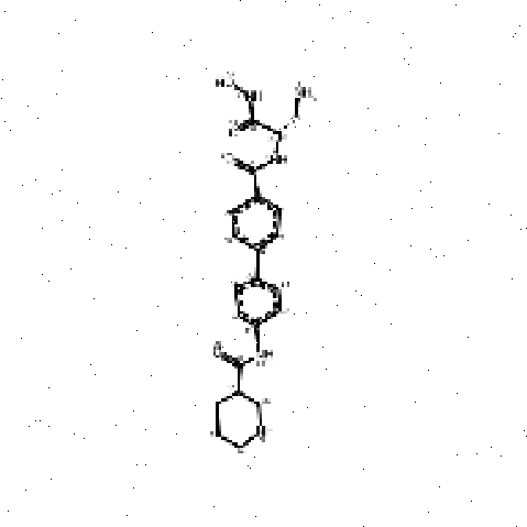 NC[C@H](NC(=O)c1ccc(-c2ccc(NC(=O)C3CCCNC3)cc2)cc1)C(=O)NO